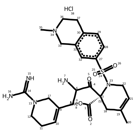 COC(=O)[C@@]1(C(=O)C(N)CC2=CCCN(C(=N)N)C2)CC(C)=CCN1S(=O)(=O)c1ccc2c(c1)CN(C)CC2.Cl